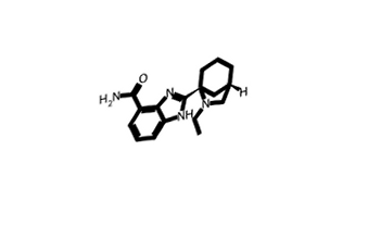 CCN1C[C@H]2CCC[C@]1(c1nc3c(C(N)=O)cccc3[nH]1)C2